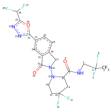 O=C(NCC(F)(F)C(F)(F)F)C1CC(F)(F)CCN1N1Cc2ccc(-c3nnc(C(F)F)o3)cc2C1=O